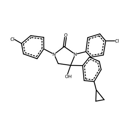 O=C1N(c2ccc(Cl)cc2)CC(O)(c2cccc(C3CC3)c2)N1c1ccc(Cl)cc1